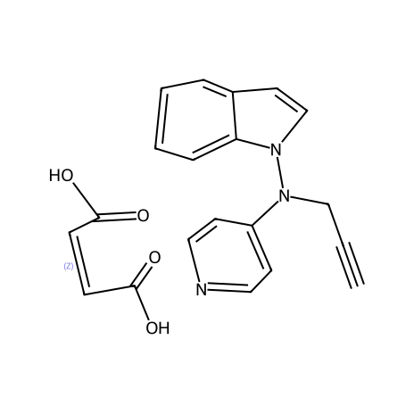 C#CCN(c1ccncc1)n1ccc2ccccc21.O=C(O)/C=C\C(=O)O